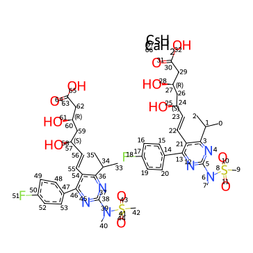 CC(C)c1nc(N(C)S(C)(=O)=O)nc(-c2ccc(F)cc2)c1C=C[C@@H](O)C[C@@H](O)CC(=O)O.CC(C)c1nc(N(C)S(C)(=O)=O)nc(-c2ccc(F)cc2)c1C=C[C@@H](O)C[C@@H](O)CC(=O)O.[CaH2].[CsH]